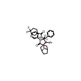 CC(C)N1C(=O)N(c2cccnc2)C(=O)C12CC1CCC(C2)N1CC[C@H](NC(=O)C1CCC(F)(F)CC1)c1ccccc1